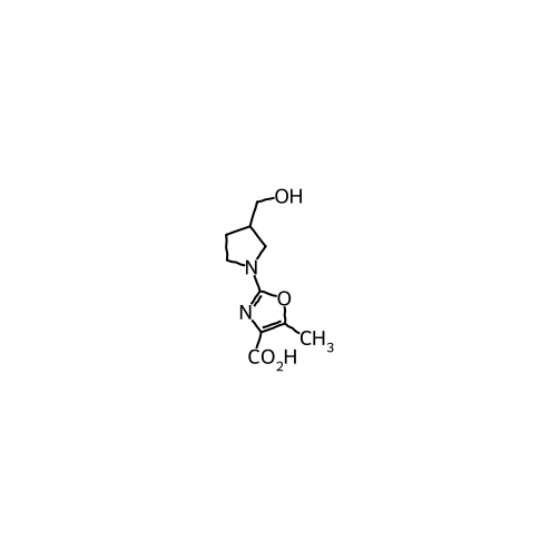 Cc1oc(N2CCC(CO)C2)nc1C(=O)O